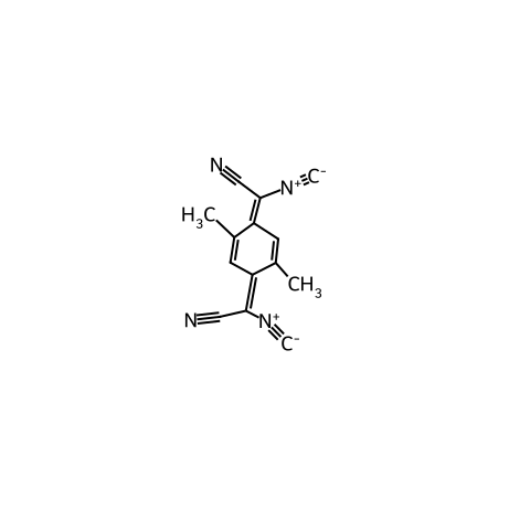 [C-]#[N+]/C(C#N)=c1/cc(C)/c(=C(\C#N)[N+]#[C-])cc1C